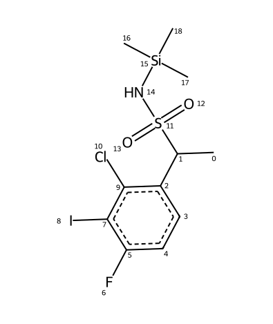 CC(c1ccc(F)c(I)c1Cl)S(=O)(=O)N[Si](C)(C)C